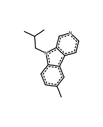 Cc1ccc2c(c1)c1ccncc1n2CC(C)C